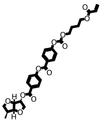 C=CC(=O)OCCCCOC(=O)Oc1ccc(C(=O)Oc2ccc(C(=O)O[C@@H]3CO[C@H]4[C@@H]3OC[C@@H]4C)cc2)cc1